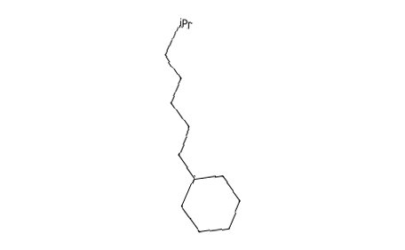 CC(C)CCCCC[C]1CCCCC1